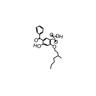 CCCCC(C)CCOc1cc(O)c(C(=O)c2ccccc2)cc1S(=O)(=O)O